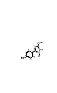 CSc1nc(-c2ccc(O)cc2)n(C)n1